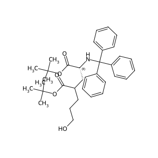 CC(C)(C)OC(=O)C(CCCO)C[C@@H](NC(c1ccccc1)(c1ccccc1)c1ccccc1)C(=O)OC(C)(C)C